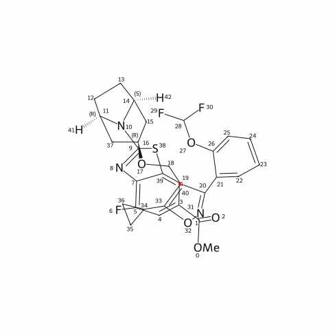 COC(=O)c1cc(F)c2nc(N3[C@@H]4CC[C@H]3C[C@@H](OCc3c(-c5ccccc5OC(F)F)noc3C3CC3)C4)sc2c1